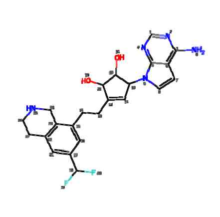 Nc1ncnc2c1ccn2C1C=C(CCc2cc(C(F)F)cc3c2CNCC3)C(O)C1O